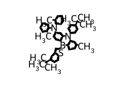 Cc1ccc2c(c1)N(c1ccc(C(C)(C)C)cc1)c1cc(N(c3ccccc3C)c3ccccc3C)ccc1B2c1cc2cc(C(C)(C)C)ccc2s1